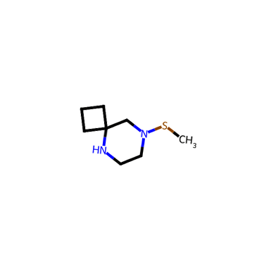 CSN1CCNC2(CCC2)C1